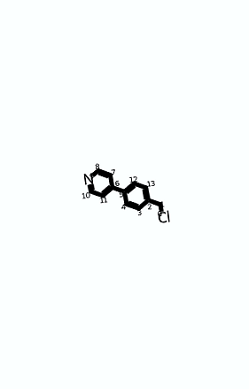 ClCc1ccc(-c2ccncc2)cc1